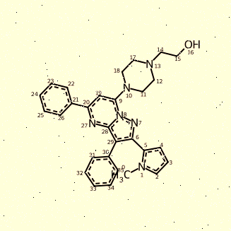 Cn1cccc1-c1nn2c(N3CCN(CCO)CC3)cc(-c3ccccc3)nc2c1-c1ccccc1